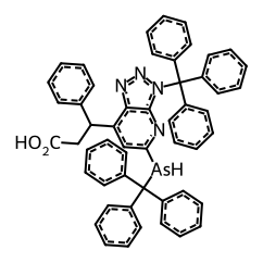 O=C(O)CC(c1ccccc1)c1cc([AsH]C(c2ccccc2)(c2ccccc2)c2ccccc2)nc2c1nnn2C(c1ccccc1)(c1ccccc1)c1ccccc1